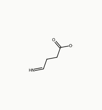 N=CCCC([O])=O